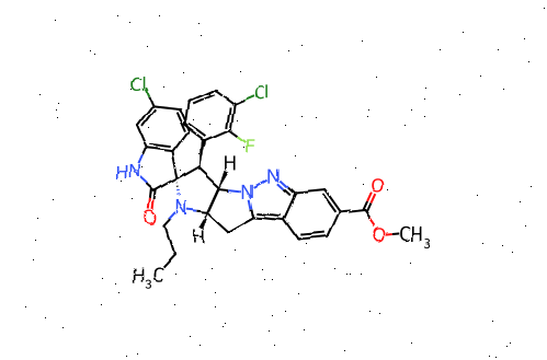 CCCN1[C@H]2Cc3c4ccc(C(=O)OC)cc4nn3[C@H]2[C@H](c2cccc(Cl)c2F)[C@]12C(=O)Nc1cc(Cl)ccc12